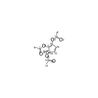 CC(=O)OC1=C(OC(C)=O)[SiH](OC(C)=O)C=C1